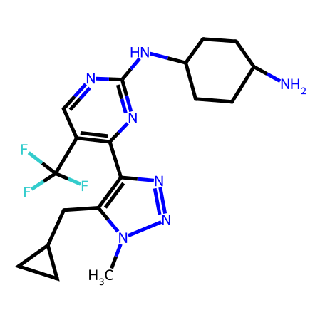 Cn1nnc(-c2nc(NC3CCC(N)CC3)ncc2C(F)(F)F)c1CC1CC1